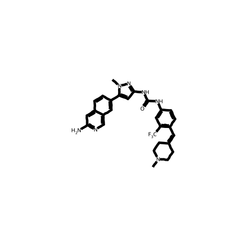 CN1CCC(=Cc2ccc(NC(=O)Nc3cc(-c4ccc5cc(N)ncc5c4)n(C)n3)cc2C(F)(F)F)CC1